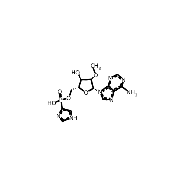 CO[C@@H]1[C@H](O)[C@@H](COP(=O)(O)c2c[nH]cn2)O[C@H]1n1cnc2c(N)ncnc21